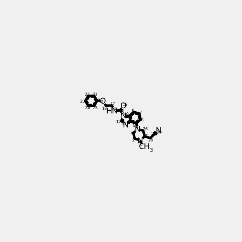 CN1CCN(c2cccc3c2ncn3C(=O)NCCOc2ccccc2)CC1CC#N